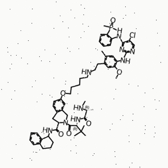 CN[C@H](C)C(=O)N[C@@H](C(=O)N1Cc2cc(OCCCCCNCCc3cc(OC)c(Nc4ncc(Cl)c(Nc5ccccc5P(C)(C)=O)n4)cc3C)ccc2CC1C(=O)NC1CCCc2ccccc21)C(C)(C)C